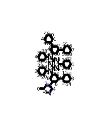 C=C/C=C(\C=C/C)c1cc(-c2ccccc2)cc(N(c2ccccc2)c2nc(-c3ccccc3)nc(N(c3ccccc3)c3cc(-c4ccccc4)cc(-c4ccccc4)c3)n2)c1